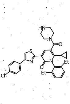 CCc1cccc(CC)c1-n1c(C2CC2)c(C(=O)N2CCNCC2)cc(-c2nc(-c3ccc(Cl)cc3)cs2)c1=O